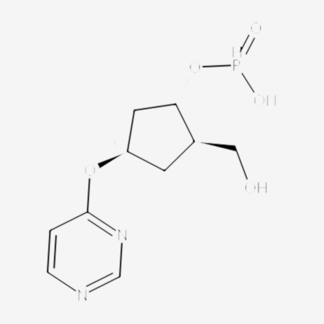 O=[PH](O)O[C@H]1C[C@H](Oc2ccncn2)C[C@@H]1CO